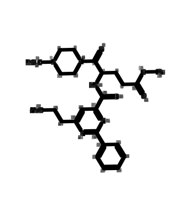 CCOC(=O)N1CCN(C(=O)C(CCC(=O)OC(C)(C)C)NC(=O)c2cc(CCOC)nc(-c3ccccc3)n2)CC1